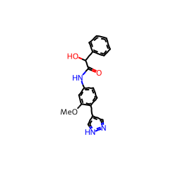 COc1cc(NC(=O)C(O)c2ccccc2)ccc1-c1cn[nH]c1